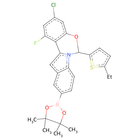 CCc1ccc(C2Oc3cc(Cl)cc(F)c3-c3cc4cc(B5OC(C)(C)C(C)(C)O5)ccc4n32)s1